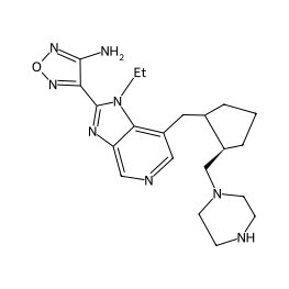 CCn1c(-c2nonc2N)nc2cncc(CC3CCC[C@H]3CN3CCNCC3)c21